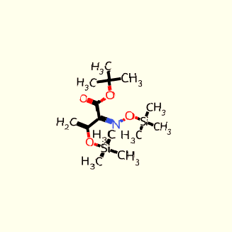 C=C(O[Si](C)(C)C)C(=NO[Si](C)(C)C)C(=O)OC(C)(C)C